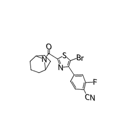 N#Cc1ccc(-c2nc(C(=O)N3C4CCCC3CC4)sc2Br)cc1F